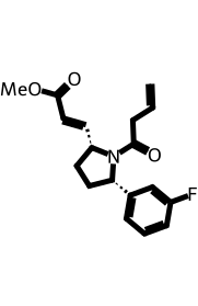 C=CCC(=O)N1[C@@H](/C=C/C(=O)OC)CC[C@H]1c1cccc(F)c1